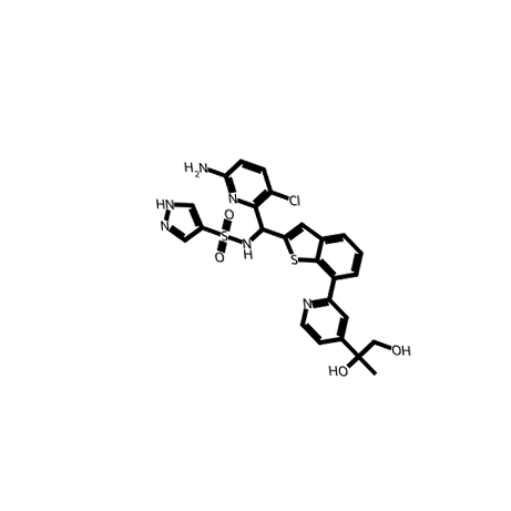 CC(O)(CO)c1ccnc(-c2cccc3cc(C(NS(=O)(=O)c4cn[nH]c4)c4nc(N)ccc4Cl)sc23)c1